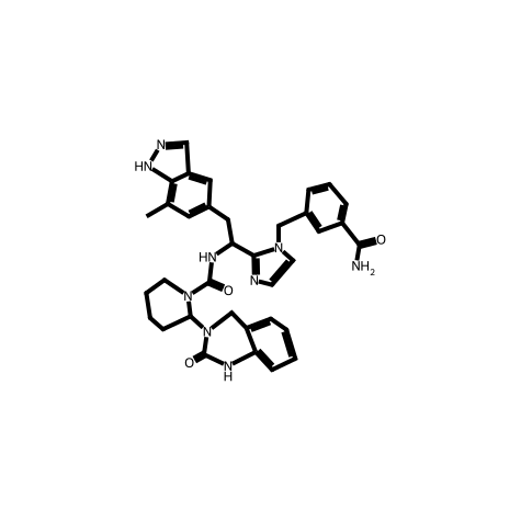 Cc1cc(CC(NC(=O)N2CCCCC2N2Cc3ccccc3NC2=O)c2nccn2Cc2cccc(C(N)=O)c2)cc2cn[nH]c12